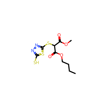 CCCCOC(=O)C(Sc1nnc(S)s1)C(=O)OC